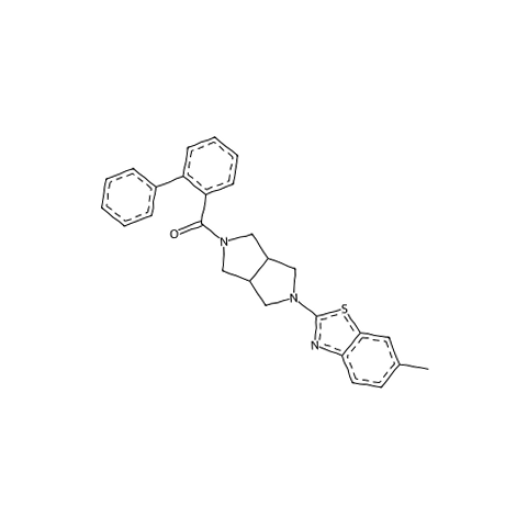 Cc1ccc2nc(N3CC4CN(C(=O)c5ccccc5-c5ccccc5)CC4C3)sc2c1